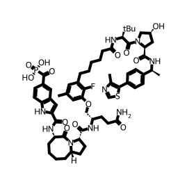 Cc1cc(CCCCCC(=O)N[C@H](C(=O)N2C[C@H](O)C[C@H]2C(=O)N[C@@H](C)c2ccc(-c3scnc3C)cc2)C(C)(C)C)c(F)c(OC[C@H](CCC(N)=O)NC(=O)[C@@H]2CC[C@@H]3CCCC[C@H](NC(=O)c4cc5cc(C(=O)P(=O)(O)O)ccc5[nH]4)C(=O)N32)c1